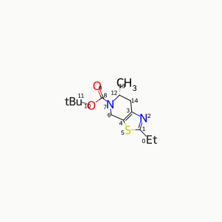 CCc1nc2c(s1)CN(C(=O)OC(C)(C)C)[C@H](C)C2